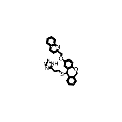 c1ccc2c(c1)COc1ccc(OCc3ccc4ccccc4n3)cc1C2SCCc1nnn[nH]1